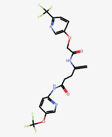 C=C(CCC(=O)Nc1ccc(OC(F)(F)F)cn1)NC(=O)COc1ccc(C(F)(F)F)nc1